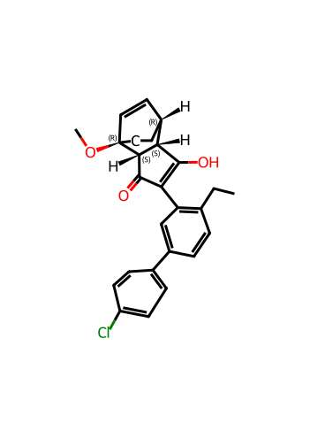 CCc1ccc(-c2ccc(Cl)cc2)cc1C1=C(O)[C@H]2[C@H]3C=C[C@](OC)(CC3)[C@H]2C1=O